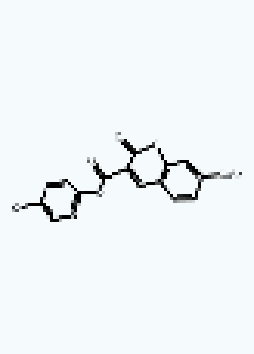 COc1ccc2cc(C(=O)Oc3ccc(Cl)cn3)c(=O)oc2c1